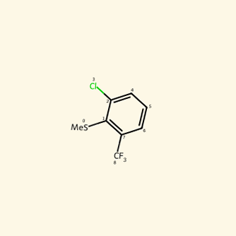 CSc1c(Cl)cccc1C(F)(F)F